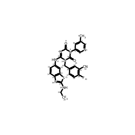 Cc1cncc(-n2c(=O)nc(Nc3ccc4nc(NCC(F)(F)F)sc4c3)n(Cc3ccc(F)c(C#N)c3)c2=O)c1